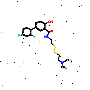 CN(C)CCSSCCNC(=O)c1cc(-c2ccc(F)cc2F)ccc1O